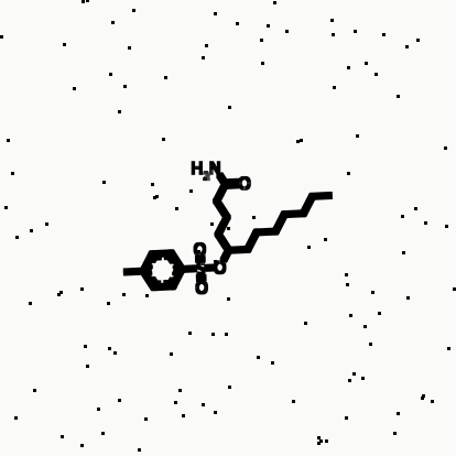 CCCCCCCC(CCCC(N)=O)OS(=O)(=O)c1ccc(C)cc1